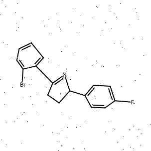 Fc1ccc(C2CCC(c3ccccc3Br)=N2)cc1